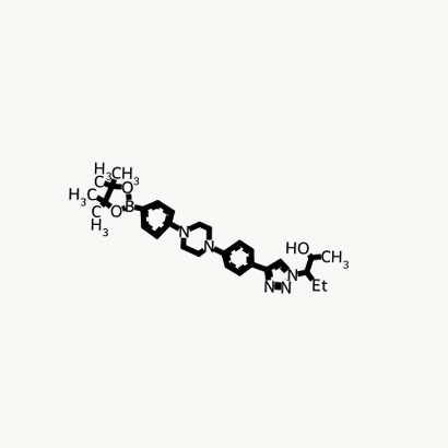 CCC(C(C)O)n1cc(-c2ccc(N3CCN(c4ccc(B5OC(C)(C)C(C)(C)O5)cc4)CC3)cc2)nn1